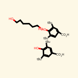 CC(C)(C)c1cc(C(=O)O)cc(C(C)(C)C)c1O.CC(C)(C)c1cc(C(=O)O)cc(C(C)(C)C)c1O.OCCCCCCO